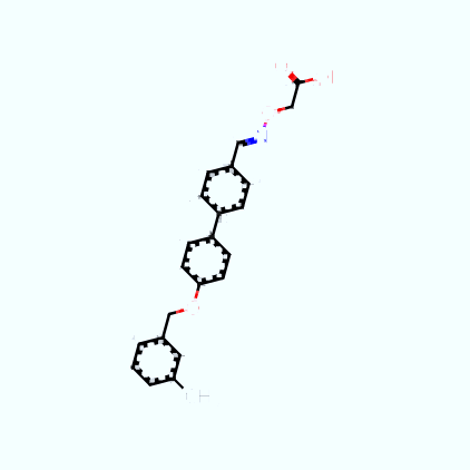 Cc1cccc(COc2ccc(-c3ccc(C=NOCC(=O)O)cc3)cc2)c1